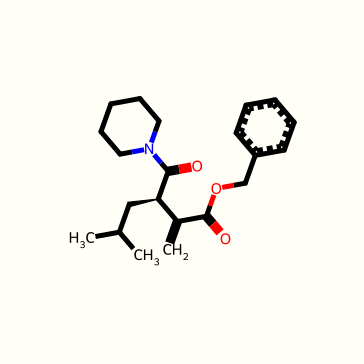 C=C(C(=O)OCc1ccccc1)[C@@H](CC(C)C)C(=O)N1CCCCC1